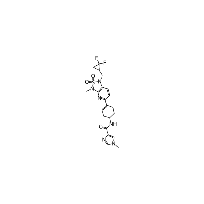 CN1c2nc(C3=CCC(NC(=O)c4cn(C)cn4)CC3)ccc2N(CC2CC2(F)F)S1(=O)=O